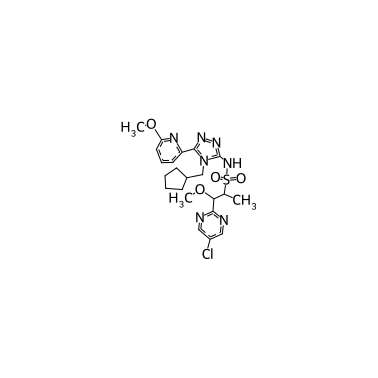 COc1cccc(-c2nnc(NS(=O)(=O)C(C)C(OC)c3ncc(Cl)cn3)n2CC2CCCC2)n1